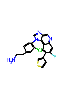 NCCc1ccc(-n2cnc3cnc4cc(F)c(-c5ccsc5)cc4c32)c(Cl)c1